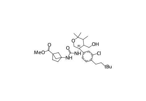 COC(=O)C12CCC(NC(=O)N[C@]3(c4ccc(CCC(C)(C)C)c(Cl)c4)COC(C)(C)C(C)C3CO)(C1)C2